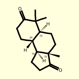 CC1(C)C(=O)CC[C@@H]2[C@@H]1CC[C@]1(C)C(=O)CC[C@@H]21